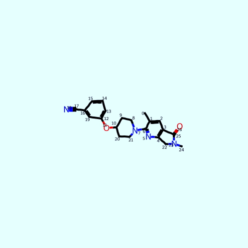 Cc1cc2c(nc1N1CCC(Oc3cccc(C#N)c3)CC1)CN(C)C2=O